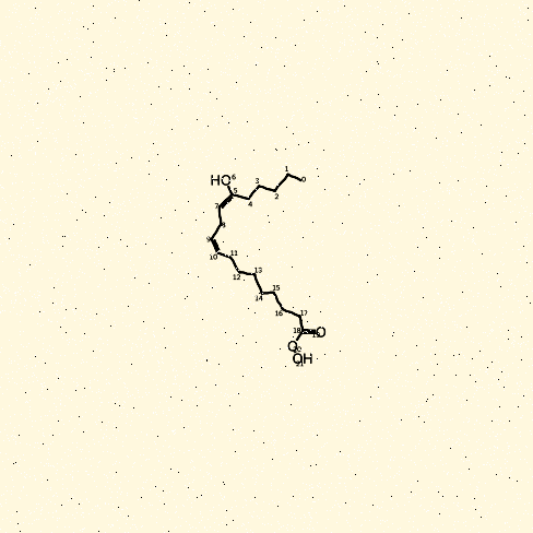 CCCCC/C(O)=C\C/C=C\CCCCCCCC(=O)OO